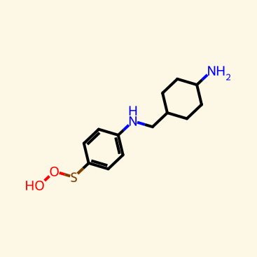 NC1CCC(CNc2ccc(SOO)cc2)CC1